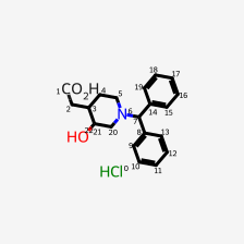 Cl.O=C(O)CC1CCN(C(c2ccccc2)c2ccccc2)CC1O